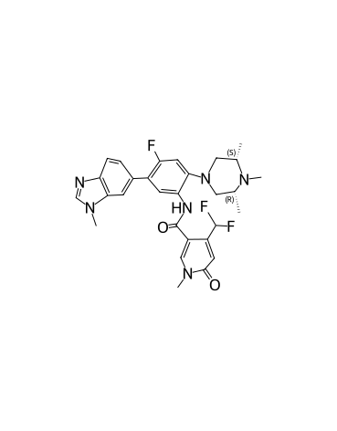 C[C@@H]1CN(c2cc(F)c(-c3ccc4ncn(C)c4c3)cc2NC(=O)c2cn(C)c(=O)cc2C(F)F)C[C@H](C)N1C